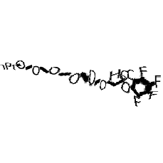 CCCOCCOCCOCCOCCOCCOCCC(=O)Oc1c(C)c(F)c(F)c(F)c1F